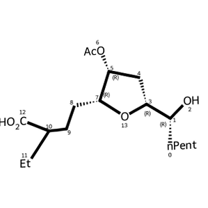 CCCCC[C@@H](O)[C@H]1C[C@@H](OC(C)=O)[C@@H](CCC(CC)C(=O)O)O1